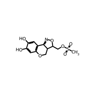 CS(=O)(=O)OCC1ON=C2c3cc(O)c(O)cc3OCC21